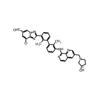 Cc1c(Nc2nccc3cc(CN4CC[C@@H](O)C4)cnc23)cccc1-c1cccc(-c2nc3c(Cl)cc(C=O)cn3n2)c1C